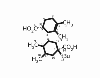 CC1=C(C)C[C@H](C(=O)O)CC1.CC1CC[C@@](C(=O)O)(C(C)(C)C)CC1C